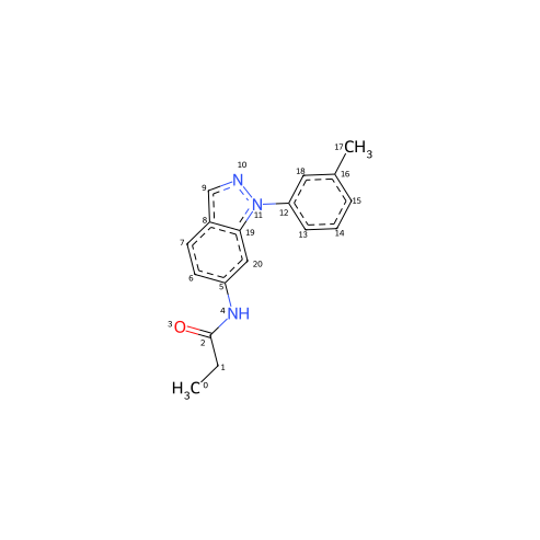 CCC(=O)Nc1ccc2cnn(-c3cccc(C)c3)c2c1